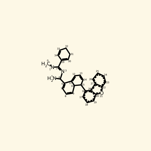 C=N/C(=N\C(N)C1=CC=CC2C1=CC=CC2c1cccc2oc3ccccc3c12)C1=CCCC=C1